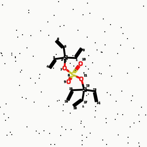 C=C[Si](C=C)(C=C)OS(=O)(=O)O[Si](C=C)(C=C)C=C